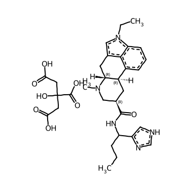 CCCC(NC(=O)[C@@H]1C[C@@H]2c3cccc4c3c(cn4CC)C[C@H]2N(C)C1)c1c[nH]cn1.O=C(O)CC(O)(CC(=O)O)C(=O)O